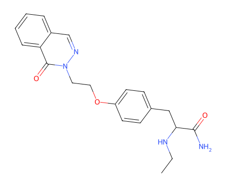 CCNC(Cc1ccc(OCCn2ncc3ccccc3c2=O)cc1)C(N)=O